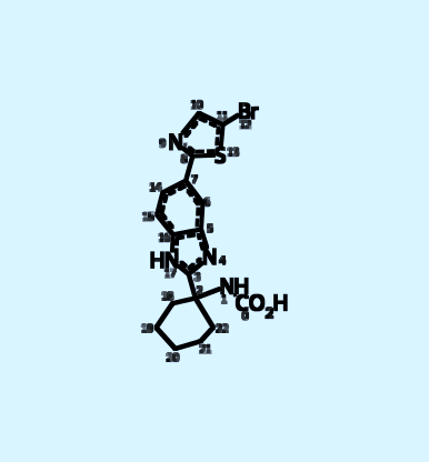 O=C(O)NC1(c2nc3cc(-c4ncc(Br)s4)ccc3[nH]2)CCCCC1